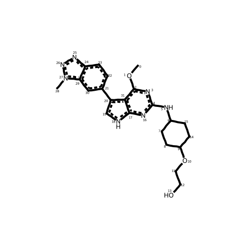 COc1nc(NC2CCC(OCCO)CC2)nc2[nH]cc(-c3ccc4nnn(C)c4c3)c12